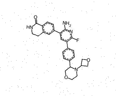 Nc1nc(F)c(-c2ccc(C3COCCN3C3COC3)cc2)cc1-c1ccc2c(c1)CCNC2=O